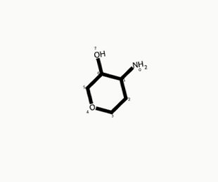 NC1CCOCC1O